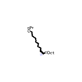 CCCCCCCC/C=C\CCCCCCCOCCC